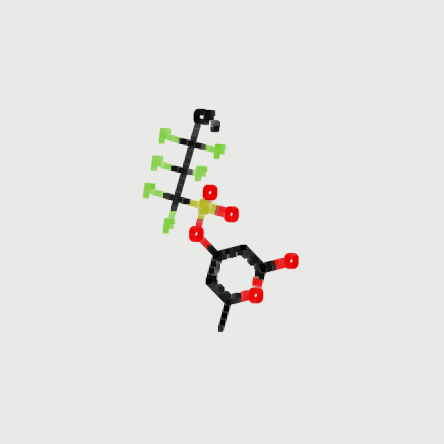 Cc1cc(OS(=O)(=O)C(F)(F)C(F)(F)C(F)(F)C(F)(F)F)cc(=O)o1